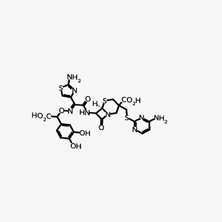 Nc1ccnc(SCC2(C(=O)O)CS[C@@H]3C(NC(=O)C(=NOC(C(=O)O)c4ccc(O)c(O)c4)c4csc(N)n4)C(=O)N3C2)n1